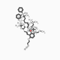 COCOc1ccc(OCCN=[N+]=[N-])c(/C=C/C[C@@H]2OC(C)(C)O[C@@H]2C(/C=C\[C@@H](C)[C@H](C)CC(C)(C)[Si](O)(c2ccccc2)c2ccccc2)O[Si](C)(C)C(C)(C)C)c1C(=O)OCC[Si](C)(C)C